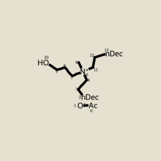 CC(=O)[O-].CCCCCCCCCCCC[N+](C)(CCCO)CCCCCCCCCCCC